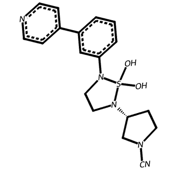 N#CN1CC[C@@H](N2CCN(c3cccc(-c4ccncc4)c3)S2(O)O)C1